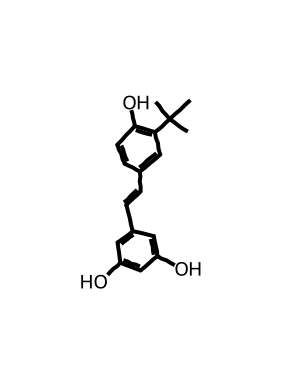 CC(C)(C)c1cc(/C=C/c2cc(O)cc(O)c2)ccc1O